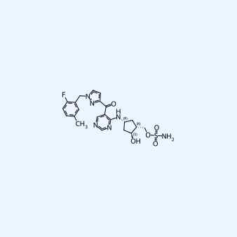 Cc1ccc(F)c(Cn2ccc(C(=O)c3cncnc3N[C@@H]3C[C@H](COS(N)(=O)=O)[C@@H](O)C3)n2)c1